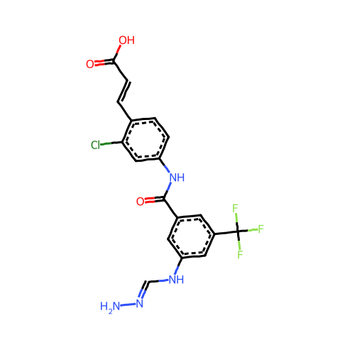 NN=CNc1cc(C(=O)Nc2ccc(C=CC(=O)O)c(Cl)c2)cc(C(F)(F)F)c1